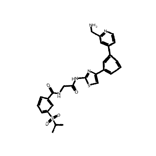 CC(C)S(=O)(=O)c1cccc(C(=O)NCC(=O)Nc2nc(-c3cccc(-c4ccnc(CN)c4)c3)cs2)c1